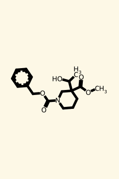 COC(=O)C1(C(C)O)CCCN(C(=O)OCc2ccccc2)C1